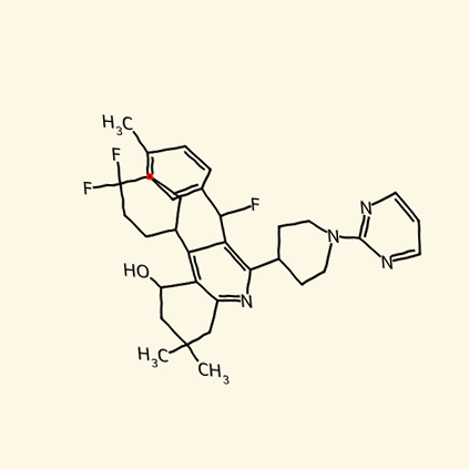 Cc1ccc(C(F)c2c(C3CCN(c4ncccn4)CC3)nc3c(c2C2CCC(F)(F)CC2)C(O)CC(C)(C)C3)cc1